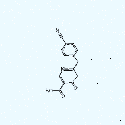 N#Cc1ccc(CC2=NC=C(C(=O)O)C(=O)C2)cc1